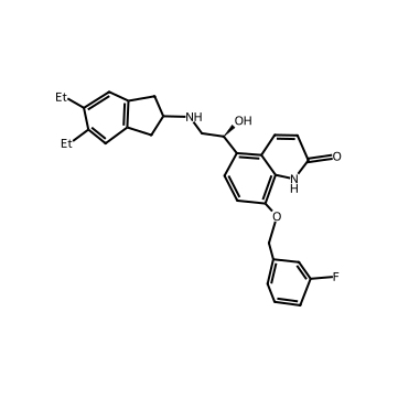 CCc1cc2c(cc1CC)CC(NC[C@@H](O)c1ccc(OCc3cccc(F)c3)c3[nH]c(=O)ccc13)C2